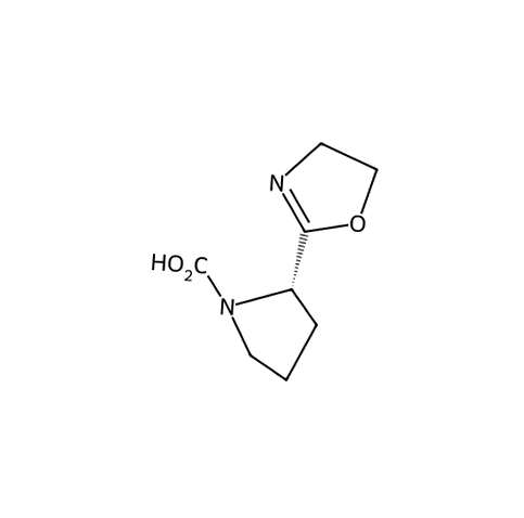 O=C(O)N1CCC[C@H]1C1=NCCO1